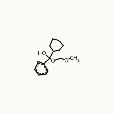 COCOC(O)(c1ccccc1)C1CCCCC1